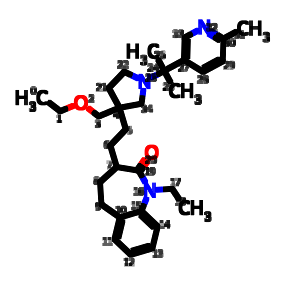 CCOCC1(CCC2CCc3ccccc3N(CC)C2=O)CCN(C(C)(C)c2ccc(C)nc2)C1